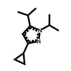 CC(C)c1cc(C2CC2)nn1C(C)C